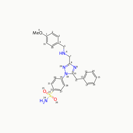 COc1ccc(CNCc2nc(Cc3ccccc3)n(-c3ccc(S(N)(=O)=O)cc3)n2)cc1